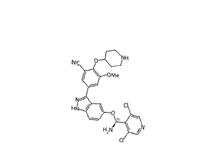 COc1cc(-c2n[nH]c3ccc(O[C@H](N)c4c(Cl)cncc4Cl)cc23)cc(C#N)c1OC1CCNCC1